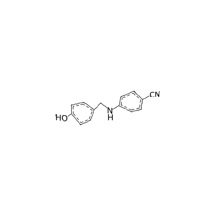 N#Cc1ccc(NCc2ccc(O)cc2)cc1